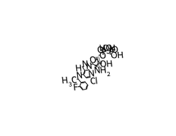 CC(Nc1cc(Cl)nc2c1cnn2C1O[C@H](COP(=O)(O)CP(=O)(O)O)[C@@H](O)[C@H]1N)c1ccccc1F